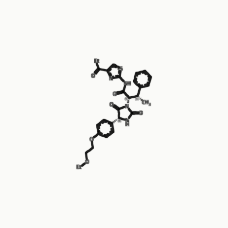 CCOCCOc1ccc([C@H]2NC(=O)N([C@H](C(=O)Nc3nc(C(=O)CC)cs3)[C@@H](C)c3ccccc3)C2=O)cc1